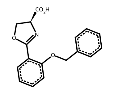 O=C(O)[C@@H]1COC(c2ccccc2OCc2ccccc2)=N1